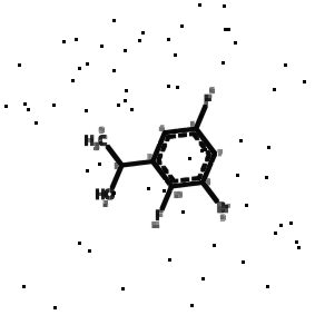 CC(O)c1cc(F)cc(Br)c1F